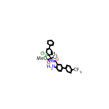 COC(=O)C(C)(NC(=O)c1cc(-c2ccc(C(F)(F)F)cc2)ccc1N)C1(F)C=CC(c2ccccc2)=C[C@H]1Cl